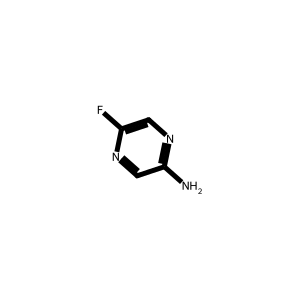 Nc1cnc(F)cn1